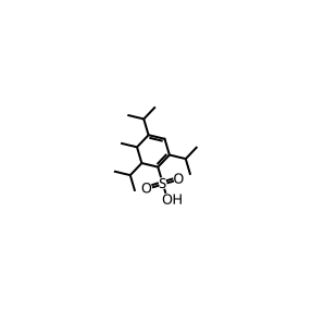 CC(C)C1=CC(C(C)C)=C(S(=O)(=O)O)C(C(C)C)C1C